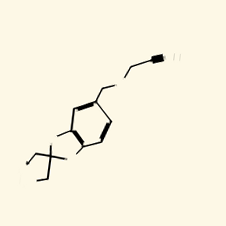 C#CCOCc1ccc2c(c1)OC(CC)(CC)O2